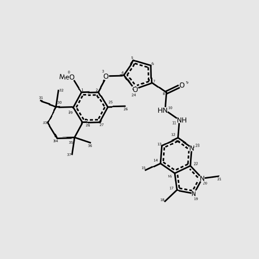 COc1c(Oc2ccc(C(=O)NNc3cc(C)c4c(C)nn(C)c4n3)o2)c(C)cc2c1C(C)(C)CCC2(C)C